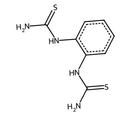 NC(=S)Nc1ccccc1NC(N)=S